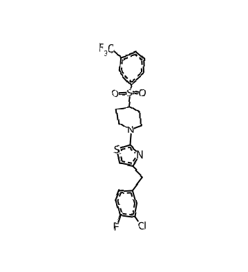 O=S(=O)(c1cccc(C(F)(F)F)c1)C1CCN(c2nc(Cc3ccc(F)c(Cl)c3)cs2)CC1